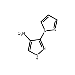 O=[N+]([O-])c1c[nH]nc1-n1cccn1